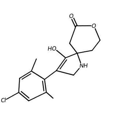 Cc1cc(Cl)cc(C)c1C1=C(O)C2(CCOC(=O)C2)NC1